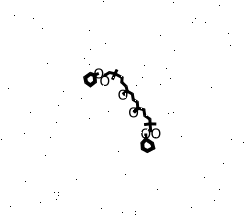 CC(C)(CCCC(=O)CCCC(=O)CCCC(C)(C)C(=O)Oc1ccccc1)CC(=O)Oc1ccccc1